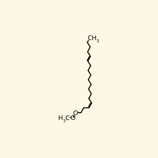 CCCC/C=C/CCCCCCCC/C=C\CCOOC